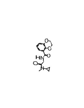 CN(C(=O)CNC(=O)c1cccc2c1OCCO2)C1CC1